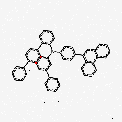 c1ccc(-c2ccc(-c3ccccc3N(c3ccc(-c4cc5ccccc5c5ccccc45)cc3)c3cccc(-c4ccccc4)c3)cc2)cc1